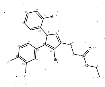 CCOC(=O)CSc1nn(-c2ccccc2F)c(-c2ccc(F)c(F)c2)c1Br